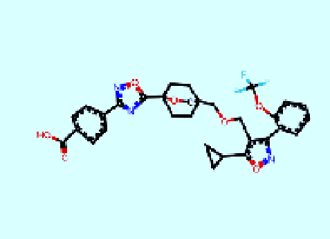 O=C(O)c1ccc(-c2noc(C34CCC(COCc5c(-c6ccccc6OC(F)(F)F)noc5C5CC5)(CC3)CO4)n2)cc1